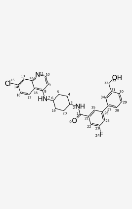 O=C(NC1CCC(Nc2ccnc3cc(Cl)ccc23)CC1)c1cc(F)cc(-c2cccc(CO)c2)c1